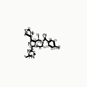 Cc1nsc(-c2nc(-c3cscn3)c3n2CCN(C(=O)c2ccc(F)cc2)[C@@H]3C)n1